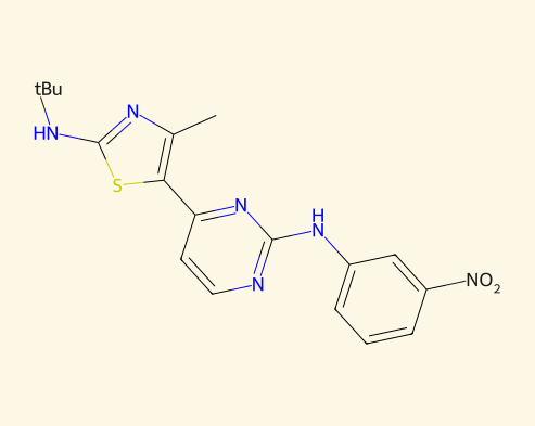 Cc1nc(NC(C)(C)C)sc1-c1ccnc(Nc2cccc([N+](=O)[O-])c2)n1